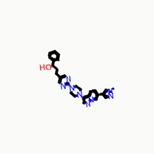 Cn1cc(-c2ccc3c(N4CCN(c5ncc(CCC(O)c6ccccc6)cn5)CC4)cnn3c2)cn1